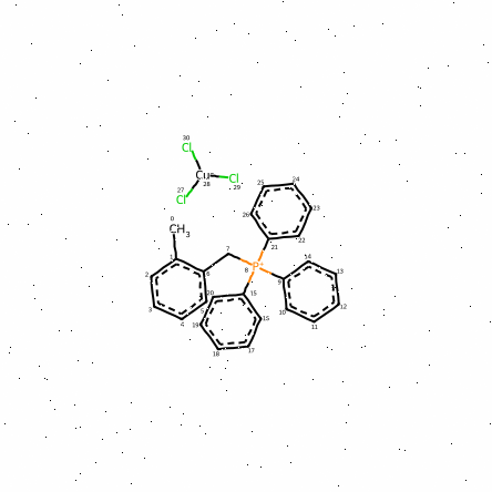 Cc1ccccc1C[P+](c1ccccc1)(c1ccccc1)c1ccccc1.[Cl][Cu-]([Cl])[Cl]